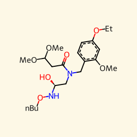 CCCCON[C@@H](O)CN(Cc1ccc(OCC)cc1OC)C(=O)CC(OC)OC